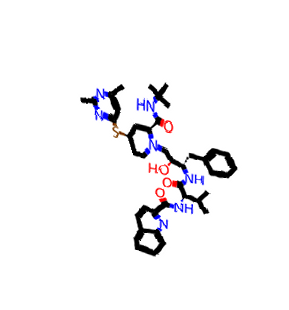 Cc1cc(S[C@@H]2CCN(C[C@@H](O)[C@H](Cc3ccccc3)NC(=O)[C@@H](NC(=O)c3ccc4ccccc4n3)C(C)C)[C@H](C(=O)NC(C)(C)C)C2)nc(C)n1